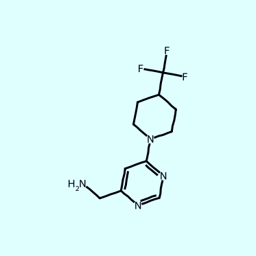 NCc1cc(N2CCC(C(F)(F)F)CC2)ncn1